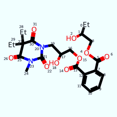 CCC(O)COC(=O)c1ccccc1C(=O)OCC(O)CN1C(=O)N(C)C(=O)C(CC)(CC)C1=O